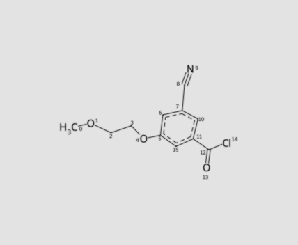 COCCOc1cc(C#N)cc(C(=O)Cl)c1